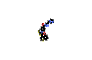 O=C(NCCCn1ccnc1)c1ccc(N2C(=O)C(=C3CCSc4ccccc43)SC2=S)cc1